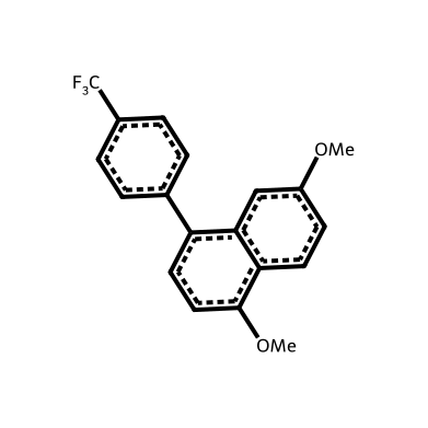 COc1ccc2c(OC)ccc(-c3ccc(C(F)(F)F)cc3)c2c1